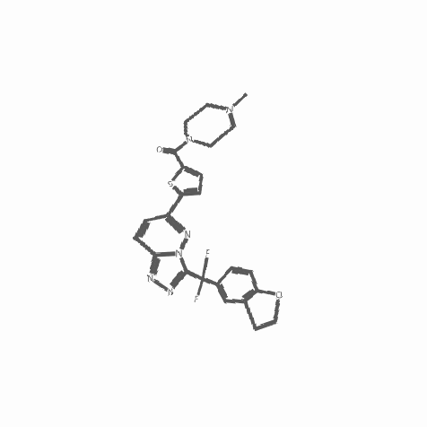 CN1CCN(C(=O)c2ccc(-c3ccc4nnc(C(F)(F)c5ccc6c(c5)CCO6)n4n3)s2)CC1